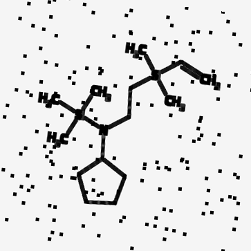 C=C[Si](C)(C)CCN(C1CCCC1)[Si](C)(C)C